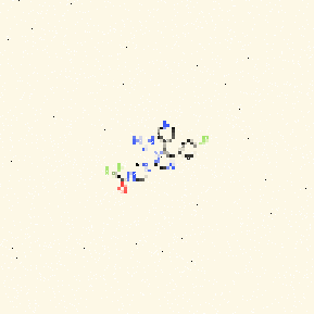 Nc1cnccc1-c1nc(N2CCN(C(=O)C(F)(F)F)CC2)cnc1-c1ccc(F)cc1